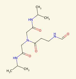 CC(C)NC(=O)CN(CC(=O)NC(C)C)C(=O)CCNC=O